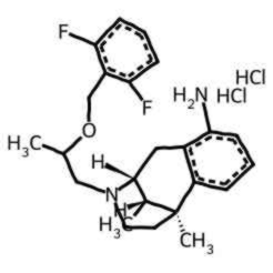 CC(CN1CC[C@]2(C)c3cccc(N)c3C[C@@H]1[C@H]2C)OCc1c(F)cccc1F.Cl.Cl